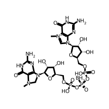 BP(=O)(OP(=O)(O)OC[C@H]1O[C@@H](N2CN(C)c3c2nc(N)[nH]c3=O)[C@H](O)[C@@H]1O)OP(=O)(O)OC[C@H]1O[C@@H](n2c[n+](C)c3c(=O)[nH]c(N)nc32)[C@H](O)[C@@H]1O